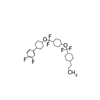 CCCC1CCC(C(F)(F)OC2CCC(C(F)(F)OC3CCC(c4ccc(F)c(F)c4)CC3)CC2)CC1